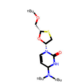 CCCCOC[C@H]1O[C@@H](N2C=CC(N(CCCC)CCCC)NC2=O)CS1